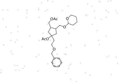 CC(=O)OCC1CC(CCOCc2ccccc2)(OC(C)=O)CC1COC1CCCCO1